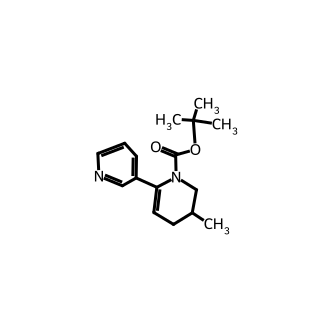 CC1CC=C(c2cccnc2)N(C(=O)OC(C)(C)C)C1